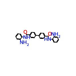 Nc1ccccc1NC(=O)c1ccc(-c2ccc(C(=O)Nc3ccccc3N)cc2)cc1